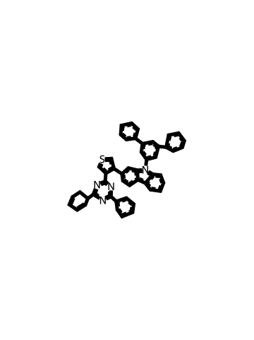 C1=CCC(c2nc(-c3ccccc3)nc(-c3cscc3-c3ccc4c5ccccc5n(-c5cc(-c6ccccc6)cc(-c6ccccc6)c5)c4c3)n2)C=C1